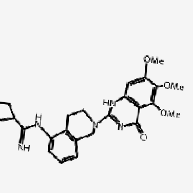 COc1cc2[nH]c(N3CCc4c(cccc4NC(=N)C4CCC4)C3)nc(=O)c2c(OC)c1OC